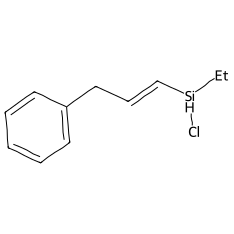 CC[SiH](Cl)C=CCc1ccccc1